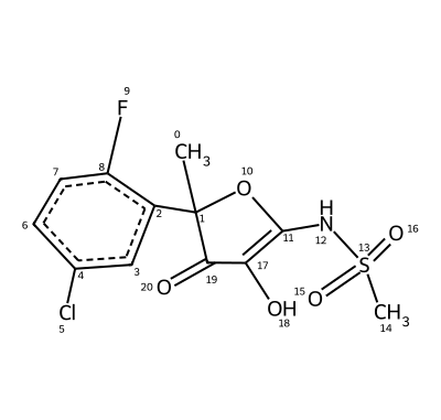 CC1(c2cc(Cl)ccc2F)OC(NS(C)(=O)=O)=C(O)C1=O